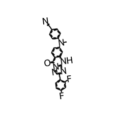 CN(c1ccc(C#N)cc1)c1ccc2c(=O)n3nc(-c4ccc(F)cc4F)nc3[nH]c2c1